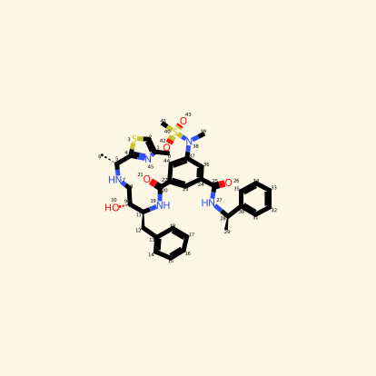 Cc1csc([C@@H](C)NC[C@@H](O)[C@H](Cc2ccccc2)NC(=O)c2cc(C(=O)N[C@H](C)c3ccccc3)cc(N(C)S(C)(=O)=O)c2)n1